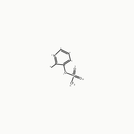 Cc1ncccc1OS(=O)(=O)C(F)(F)F